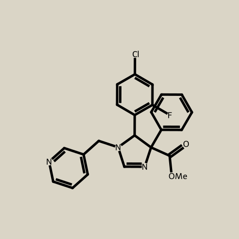 COC(=O)C1(c2ccccc2)N=CN(Cc2cccnc2)C1c1ccc(Cl)cc1F